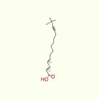 CC(C)(C)C#CCCCCCC/C=C/C=C/C(=O)O